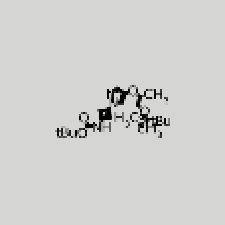 C[C@H](CO[Si](C)(C)C(C)(C)C)Oc1cnn(C23CC(NC(=O)OC(C)(C)C)(C2)C3)c1